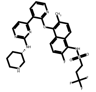 Cc1ccc2c(NS(=O)(=O)CCC(F)(F)F)c(F)ccc2c1Oc1ncccc1-c1ccnc(N[C@H]2CCCNC2)n1